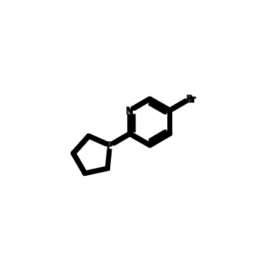 Brc1ccc(P2CCCC2)nc1